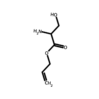 C=CCOC(=O)C(N)CO